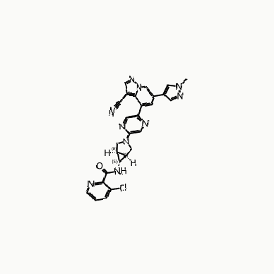 Cn1cc(-c2cc(-c3cnc(N4C[C@@H]5[C@H](C4)[C@H]5NC(=O)c4ncccc4Cl)cn3)c3c(C#N)cnn3c2)cn1